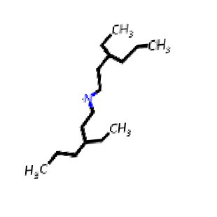 CCCC(CC)CC[N]CCC(CC)CCC